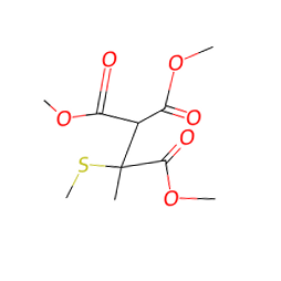 COC(=O)C(C(=O)OC)C(C)(SC)C(=O)OC